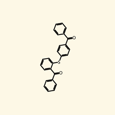 O=C(c1ccccc1)c1ccc(Sc2ccccc2C(=O)c2ccccc2)cc1